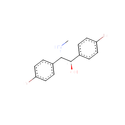 CN[C@@H](c1ccc(Br)cc1)[C@H](O)c1ccc(Br)cc1